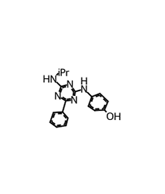 CC(C)Nc1nc(Nc2ccc(O)cc2)nc(-c2ccccc2)n1